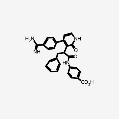 N=C(N)c1ccc(-c2cc[nH]c(=O)c2C(Cc2ccccc2)C(=O)Nc2ccc(C(=O)O)cc2)cc1